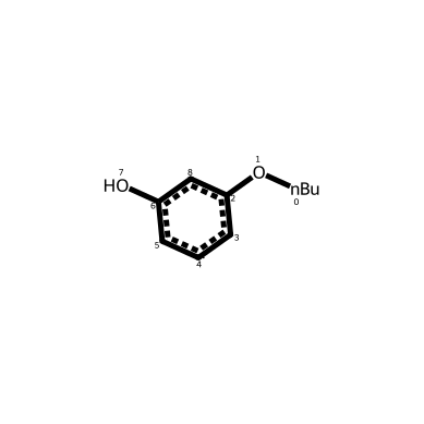 CCCCOc1c[c]cc(O)c1